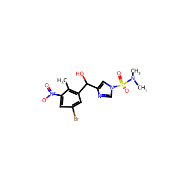 Cc1c(C(O)c2cn(S(=O)(=O)N(C)C)cn2)cc(Br)cc1[N+](=O)[O-]